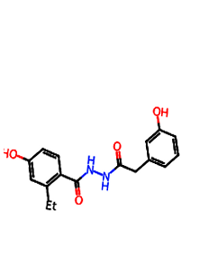 CCc1cc(O)ccc1C(=O)NNC(=O)Cc1cccc(O)c1